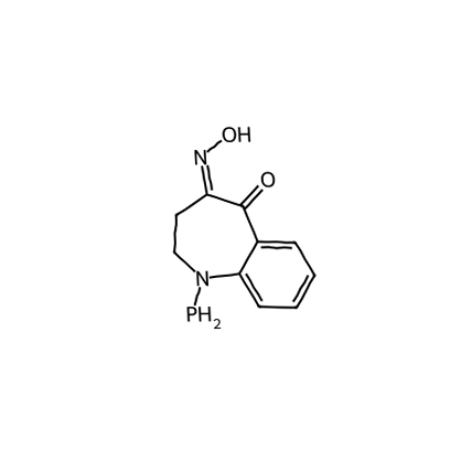 O=C1/C(=N\O)CCN(P)c2ccccc21